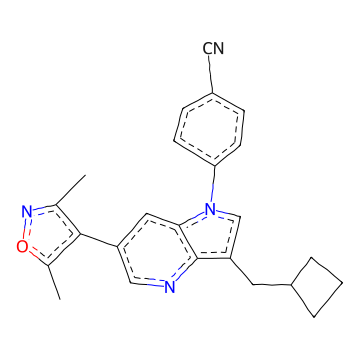 Cc1noc(C)c1-c1cnc2c(CC3CCC3)cn(-c3ccc(C#N)cc3)c2c1